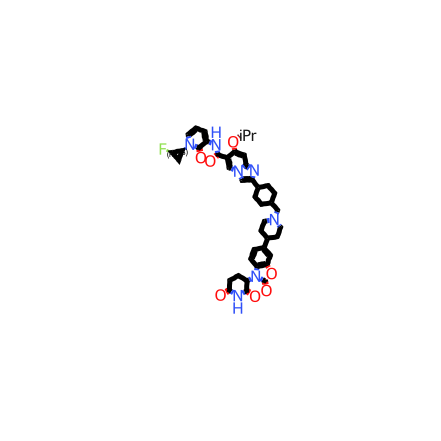 CC(C)Oc1cc2nc(C3CCC(CN4CCC(c5ccc6c(c5)oc(=O)n6C5CCC(=O)NC5=O)CC4)CC3)cn2cc1C(=O)Nc1cccn([C@H]2C[C@H]2F)c1=O